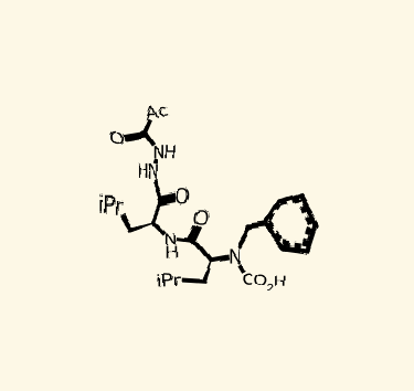 CC(=O)C(=O)NNC(=O)[C@H](CC(C)C)NC(=O)[C@H](CC(C)C)N(Cc1ccccc1)C(=O)O